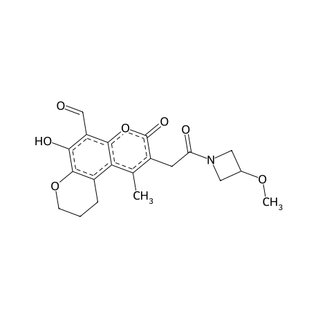 COC1CN(C(=O)Cc2c(C)c3c4c(c(O)c(C=O)c3oc2=O)OCCC4)C1